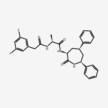 C[C@H](NC(=O)Cc1cc(F)cc(F)c1)C(=O)N[C@H]1C[C@@H](c2ccccc2)C[C@@H](c2ccccc2)NC1=O